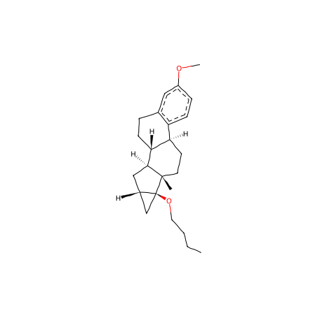 CCCCO[C@@]12C[C@@H]1C[C@H]1[C@@H]3CCc4cc(OC)ccc4[C@H]3CC[C@@]12C